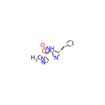 Cn1nccc1[C@@H]1OC(=O)N[C@@H]1c1cncc(C#Cc2ccccc2)c1